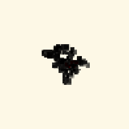 NCCCC[C@H](NC(=O)[C@H](Cc1ccccc1)NC(=O)CNC(=O)[C@H](CO)NC(=O)[C@H](Cc1ccc(O)cc1)NC(=O)[C@H](CCC(N)=O)NC(=O)[C@H](Cc1ccc(O)cc1)N[N+](=O)[O-])C(=O)O